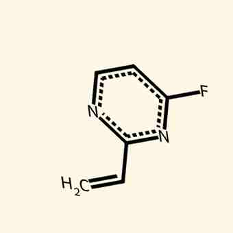 C=Cc1nccc(F)n1